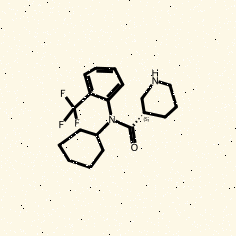 O=C([C@H]1CCCNC1)N(c1ccccc1C(F)(F)F)C1CCCCC1